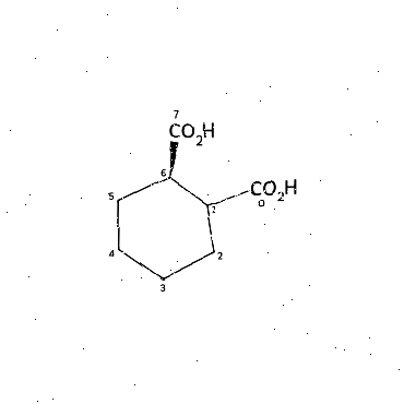 O=C(O)C1CCCC[C@H]1C(=O)O